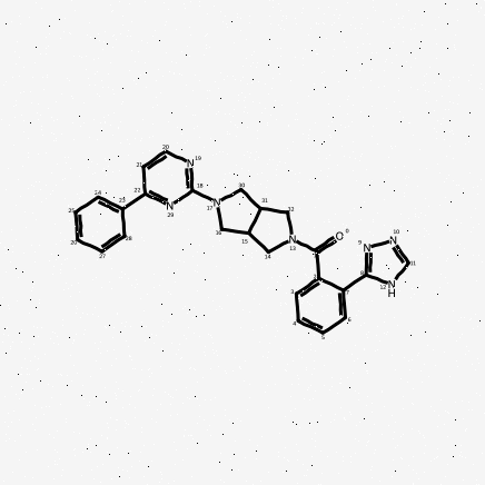 O=C(c1ccccc1-c1nnc[nH]1)N1CC2CN(c3nccc(-c4ccccc4)n3)CC2C1